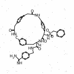 N=C(N)c1ccc(CNC(=O)[C@@H]2Cc3ccc(cc3)CNC(=O)Cc3ccc(cc3)CC(=O)NCc3ccc(cc3)C(NS(=O)(=O)Cc3ccccc3)C(=O)N2)cc1